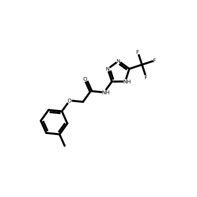 Cc1cccc(OCC(=O)Nc2nnc(C(F)(F)F)[nH]2)c1